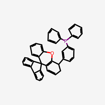 C1=CC2=C(Oc3ccccc3C23c2ccccc2-c2ccccc23)C(c2cccc(P(c3ccccc3)c3ccccc3)c2)C1